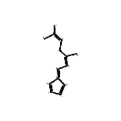 CC(C)=CCC(C)=CC=C1C=CC=C1